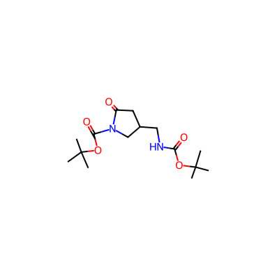 CC(C)(C)OC(=O)NCC1CC(=O)N(C(=O)OC(C)(C)C)C1